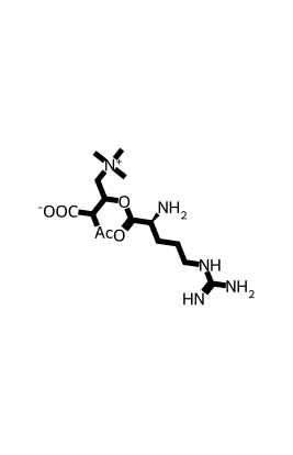 CC(=O)C(C(=O)[O-])C(C[N+](C)(C)C)OC(=O)[C@@H](N)CCCNC(=N)N